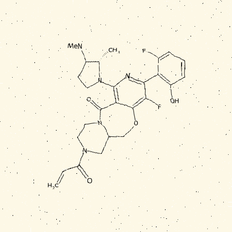 C=CC(=O)N1CCN2C(=O)c3c(N4CCC(NC)[C@@H]4C)nc(-c4c(O)cccc4F)c(F)c3OCC2C1